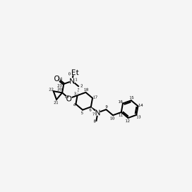 CCN1C[C@]2(CC[C@H](N(C)CCc3ccccc3)CC2)OC2(CC2)C1=O